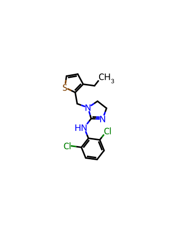 CCc1ccsc1CN1CCN=C1Nc1c(Cl)cccc1Cl